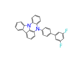 Fc1cc(F)cc(-c2ccc(N3c4ccccc4-n4c5ccccc5c5cccc3c54)cc2)c1